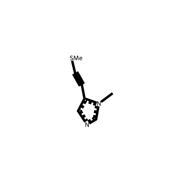 CSC#Cc1cncn1C